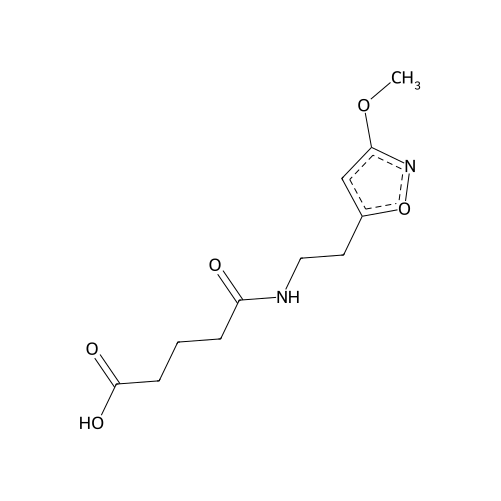 COc1cc(CCNC(=O)CCCC(=O)O)on1